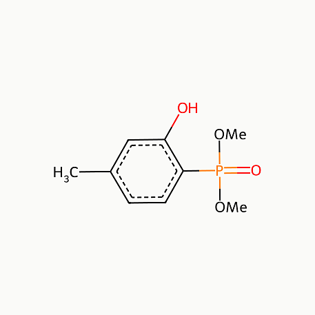 COP(=O)(OC)c1ccc(C)cc1O